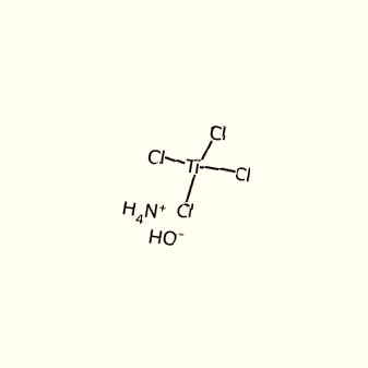 [Cl][Ti]([Cl])([Cl])[Cl].[NH4+].[OH-]